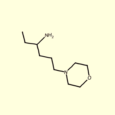 CCC(N)CCCN1CCOCC1